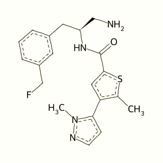 Cc1sc(C(=O)N[C@H](CN)Cc2cccc(CF)c2)cc1-c1ccnn1C